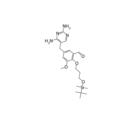 COc1cc(Cc2cnc(N)nc2N)cc(C=O)c1OCCCO[Si](C)(C)C(C)(C)C